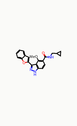 COc1c(C(=O)NCC2CC2)ccc2[nH]nc(-c3cc4ccccc4o3)c12